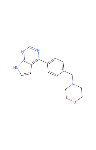 c1nc(-c2ccc(CN3CCOCC3)cc2)c2cc[nH]c2n1